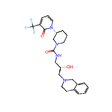 O=C(NC[C@H](O)CN1CCc2ccccc2C1)N1CCC[C@@H](n2cccc(C(F)(F)F)c2=O)C1